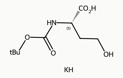 CC(C)(C)OC(=O)N[C@@H](CCO)C(=O)O.[KH]